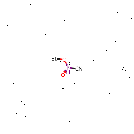 CCO[PH](=O)C#N